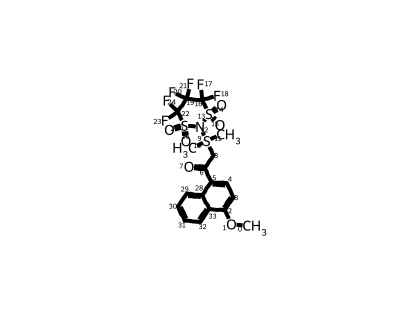 COc1ccc(C(=O)CS(C)(C)N2S(=O)(=O)C(F)(F)C(F)(F)C(F)(F)S2(=O)=O)c2ccccc12